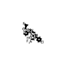 O=C(Nc1ncccc1-n1cnc(Cn2nc(-c3ccc(Cl)cc3)n(CC(O)C(F)(F)F)c2=O)n1)C1CC1F